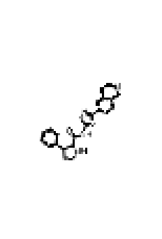 O=C(Nc1nnc(-c2ccc3cnccc3c2)s1)C1NCCC1c1ccccc1